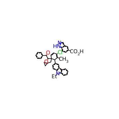 CCn1c2ccccc2c2cc(C3C(C)=C(Cl)C=CC3(CC3CC3)C(=O)C(=O)c3ccccc3)ccc21.O=C(O)c1ccc2[nH]ncc2c1